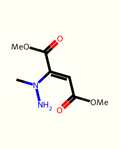 COC(=O)C=C(C(=O)OC)N(C)N